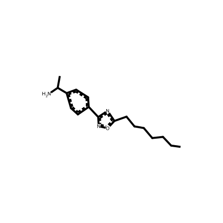 CCCCCCCc1nc(-c2ccc(C(C)N)cc2)no1